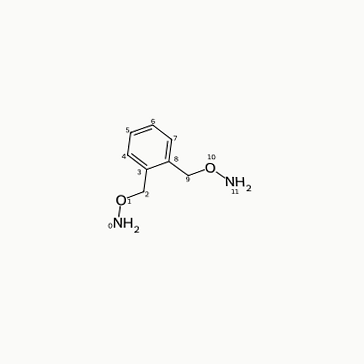 NOCc1ccccc1CON